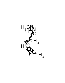 C/C=C/C(F)(F)c1ccc(Nc2ncc(C(C)/C=C/CC(=O)c3ncnc(C)c3Cl)s2)cc1